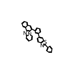 c1ccc(-c2nc3ccc(-c4cccc(-c5cc6ccccc6c6nc7ccccn7c56)c4)cc3s2)cc1